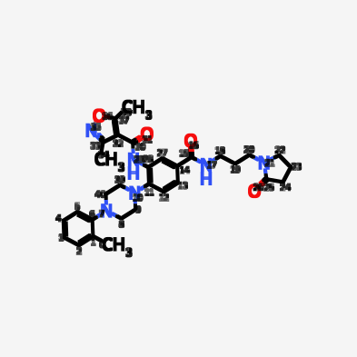 Cc1ccccc1N1CCN(c2ccc(C(=O)NCCCN3CCCC3=O)cc2NC(=O)c2c(C)noc2C)CC1